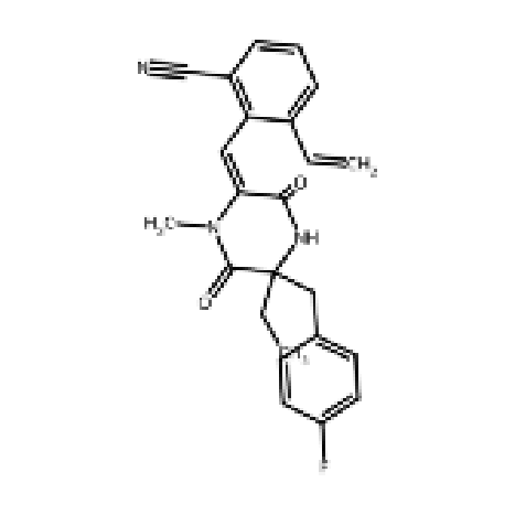 C=Cc1cccc(C#N)c1/C=C1\C(=O)NC(CC)(Cc2ccc(F)cc2)C(=O)N1C